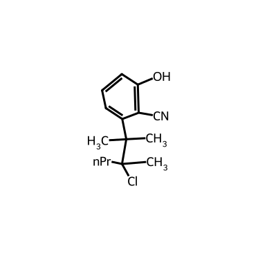 CCCC(C)(Cl)C(C)(C)c1cccc(O)c1C#N